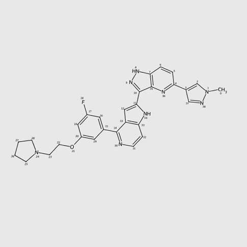 Cn1cc(-c2ccc3[nH]nc(-c4cc5c(-c6cc(F)cc(OCCN7CCCC7)c6)nccc5[nH]4)c3n2)cn1